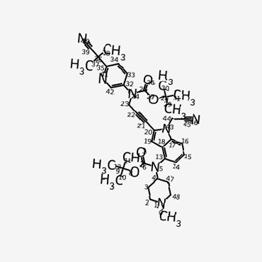 CN1CCC(N(C(=O)OC(C)(C)C)c2cccc3c2cc(C#CCN(C(=O)OC(C)(C)C)c2ccc(C(C)(C)C#N)nc2)n3CC#N)CC1